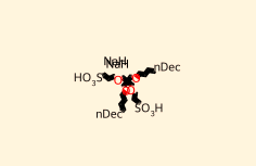 CCCCCCCCCCCCCCOCC(COCCCCCCCCCCCCCC)(COCCCS(=O)(=O)O)COCCCS(=O)(=O)O.[NaH].[NaH]